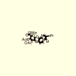 CCCc1cnc2c(O[C@@H]3O[C@H](C(=O)OC)[C@@H](OC(C)=O)[C@H](OC(C)=O)[C@H]3OC(C)=O)cccn2c1=O